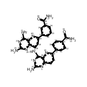 CCCc1nc(N)nc2ccc(-c3ccc(C(N)=O)cc3)nc12.CCCc1nc(N)nc2ccc(-c3cccc(C(N)=O)c3)nc12